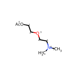 CC(=O)OCCOCCN(C)C